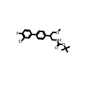 COCC(CNC(=O)OC(C)(C)C)c1ccc(-c2ccc(F)c(Cl)c2)cc1